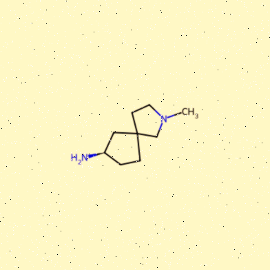 CN1CCC2(CC[C@@H](N)C2)C1